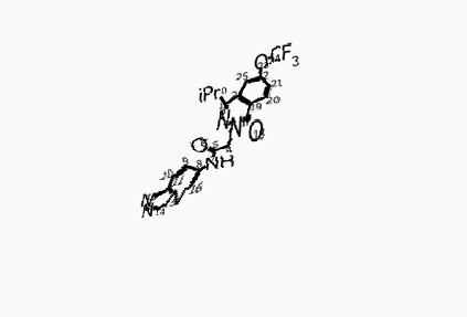 CC(C)c1nn(CC(=O)Nc2ccc3nncn3c2)c(=O)c2ccc(OC(F)(F)F)cc12